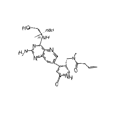 C=CCC(=O)N(C)Cc1c[nH]c(=O)cc1-c1cnc2c(N[C@@](C)(CO)CCCC)nc(N)nc2c1